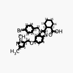 Cc1cc(COc2ccc3nc(C4CCCCC4C(=O)O)n(Cc4ccc(Br)cc4)c3c2)n(C)n1